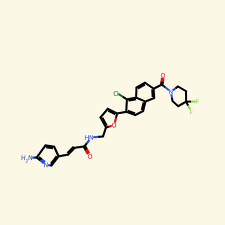 Nc1ccc(C=CC(=O)NCc2ccc(-c3ccc4cc(C(=O)N5CCC(F)(F)CC5)ccc4c3Cl)o2)cn1